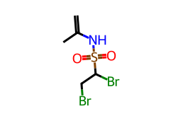 C=C(C)NS(=O)(=O)C(Br)CBr